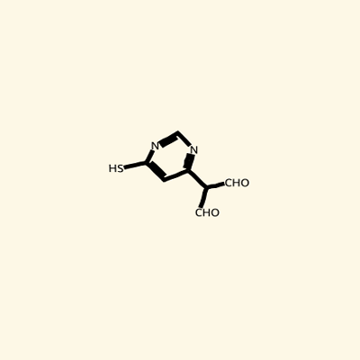 O=CC(C=O)c1cc(S)ncn1